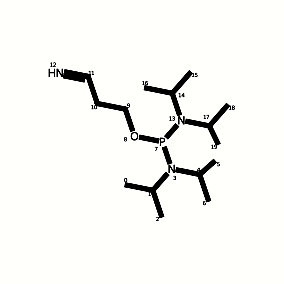 CC(C)N(C(C)C)P(OCCC=N)N(C(C)C)C(C)C